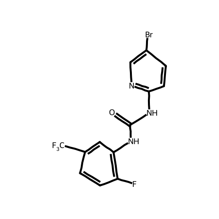 O=C(Nc1ccc(Br)cn1)Nc1cc(C(F)(F)F)ccc1F